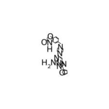 Nc1nc(N2CCN(Cc3ccc4c(c3)NC(=O)CO4)CC2)cc2nc(-c3ccco3)nn12